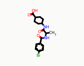 CC(NC(=O)c1ccc(Br)cc1)C(=O)NC1CCC(C(=O)O)CC1